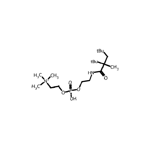 CC(C)(C)CC(C)(C(=O)NCCOP(=O)(O)OCC[N+](C)(C)C)C(C)(C)C